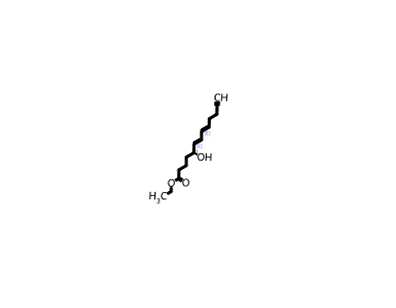 C#CCC/C=C/C=C/[C@@H](O)CCCC(=O)OCC